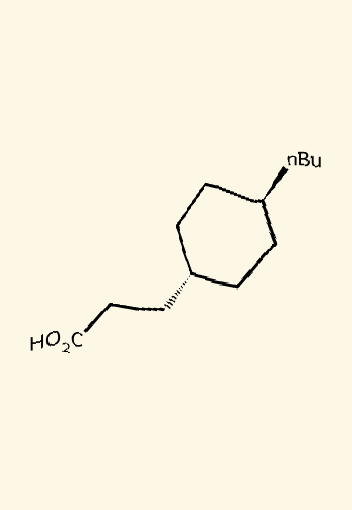 CCCC[C@H]1CC[C@H](CCC(=O)O)CC1